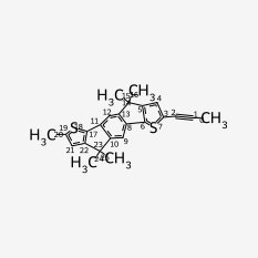 CC#Cc1cc2c(s1)-c1cc3c(cc1C2(C)C)-c1sc(C)cc1C3(C)C